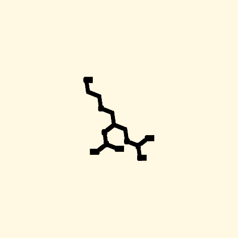 OCCOCC(CON(O)O)ON(O)O